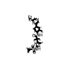 CCOc1cncc(-c2ccc(NC(=O)C(C)(C)c3csc(NS(=O)(=O)C4CC4)n3)c(C)c2)n1